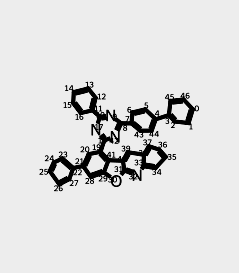 c1ccc(-c2ccc(-c3nc(-c4ccccc4)nc(-c4cc(-c5ccccc5)cc5oc6nc7ccccc7cc6c45)n3)cc2)cc1